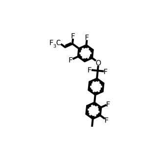 Cc1ccc(-c2ccc(C(F)(F)Oc3cc(F)c(/C(F)=C/C(F)(F)F)c(F)c3)cc2)c(F)c1F